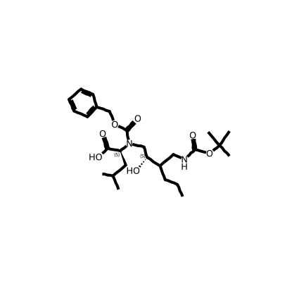 CCCC(CNC(=O)OC(C)(C)C)[C@H](O)CN(C(=O)OCc1ccccc1)[C@@H](CC(C)C)C(=O)O